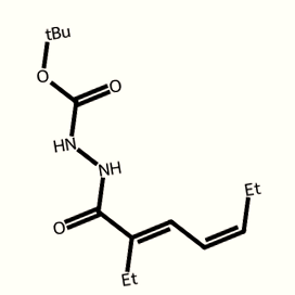 CC/C=C\C=C(/CC)C(=O)NNC(=O)OC(C)(C)C